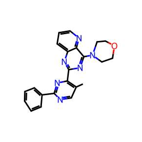 Cc1cnc(-c2ccccc2)nc1-c1nc(N2CCOCC2)c2ncccc2n1